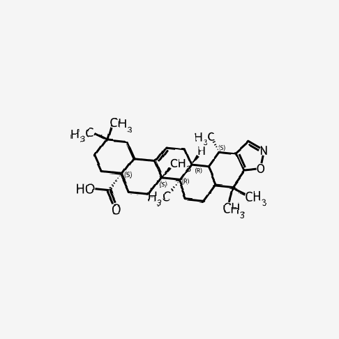 C[C@@H]1c2cnoc2C(C)(C)C2CC[C@]3(C)[C@H](CC=C4C5CC(C)(C)CC[C@]5(C(=O)O)CC[C@]43C)C21